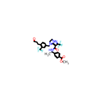 COC(=O)c1ccc([C@H](C)NC(=O)c2c(C(F)(F)F)nn3c2N(Cc2ccc(CCC=O)c(C(F)(F)F)c2)CC3)cc1